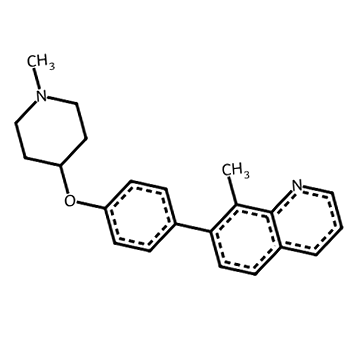 Cc1c(-c2ccc(OC3CCN(C)CC3)cc2)ccc2cccnc12